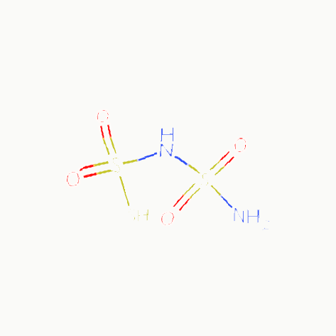 NS(=O)(=O)NS(=O)(=O)S